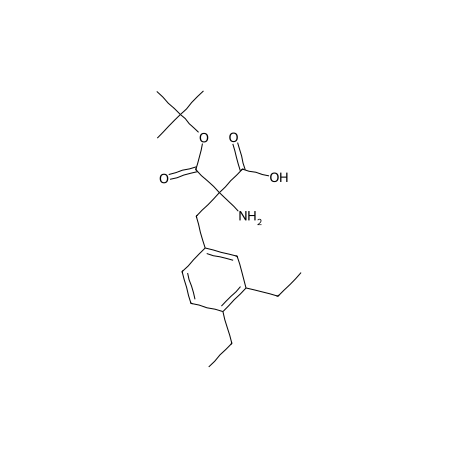 CCc1ccc(CC(N)(C(=O)O)C(=O)OC(C)(C)C)cc1CC